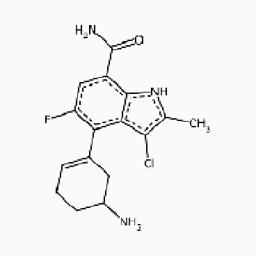 Cc1[nH]c2c(C(N)=O)cc(F)c(C3=CCCC(N)C3)c2c1Cl